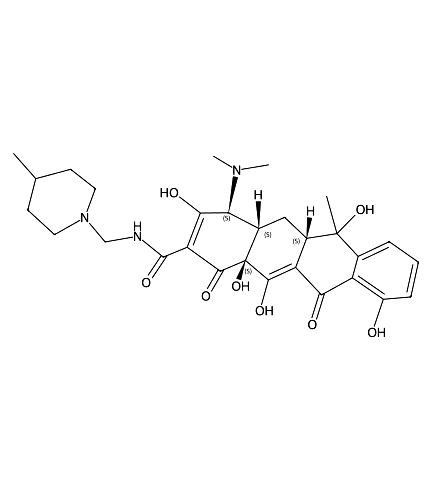 CC1CCN(CNC(=O)C2=C(O)[C@@H](N(C)C)[C@@H]3C[C@H]4C(=C(O)[C@]3(O)C2=O)C(=O)c2c(O)cccc2C4(C)O)CC1